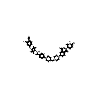 CC1(C)[C@H](NC(=O)c2ccc(N3CCC(CN4CCN(c5ccc6c(=O)n([C@@H]7CCC(=O)NC7=O)nc(F)c6c5)CC4)CC3)cc2)C(C)(C)[C@H]1Oc1ccc(C#N)c(Cl)c1